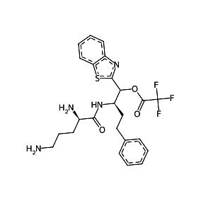 NCCC[C@@H](N)C(=O)N[C@H](CCc1ccccc1)C(OC(=O)C(F)(F)F)c1nc2ccccc2s1